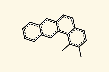 Cc1ccc2ccc3cc4ccccc4cc3c2c1C